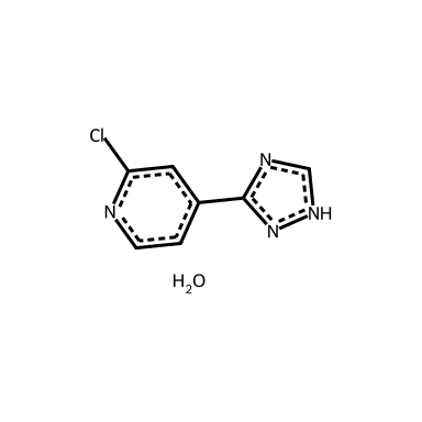 Clc1cc(-c2nc[nH]n2)ccn1.O